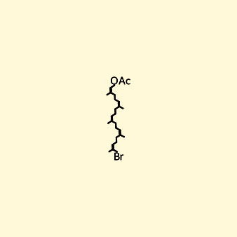 CC(=O)OCC=C(C)CCC=C(C)CCC=C(C)CCC=C(C)CCC=C(C)CBr